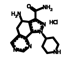 Cl.NC(=O)c1nn(C2CCNCC2)c2c1C(N)Cc1cncnc1-2